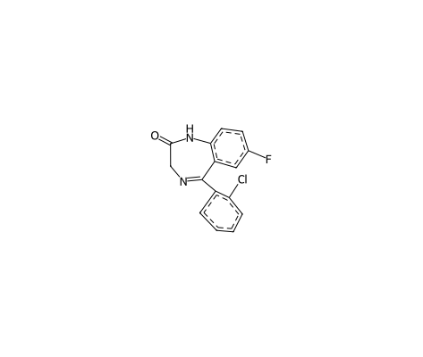 O=C1CN=C(c2ccccc2Cl)c2cc(F)ccc2N1